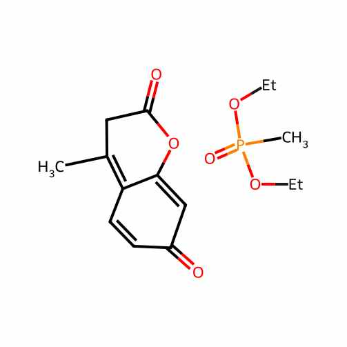 CC1=C2C=CC(=O)C=C2OC(=O)C1.CCOP(C)(=O)OCC